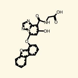 O=C(O)CNC(=O)c1c(O)cc(Oc2cccc3c2oc2ccccc23)n2ncnc12